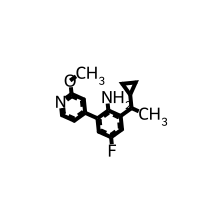 COc1cc(-c2cc(F)cc(C(C)C3CC3)c2N)ccn1